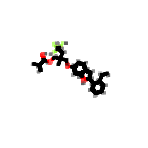 C=C(C)C(=O)OCC(C)(COc1ccc2cc(-c3ccccc3CC)oc2c1)CC(F)(F)F